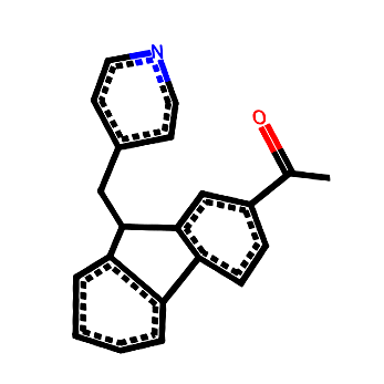 CC(=O)c1ccc2c(c1)C(Cc1ccncc1)c1ccccc1-2